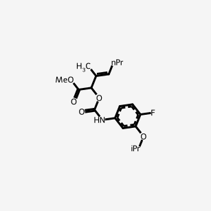 CCCC=C(C)C(OC(=O)Nc1ccc(F)c(OC(C)C)c1)C(=O)OC